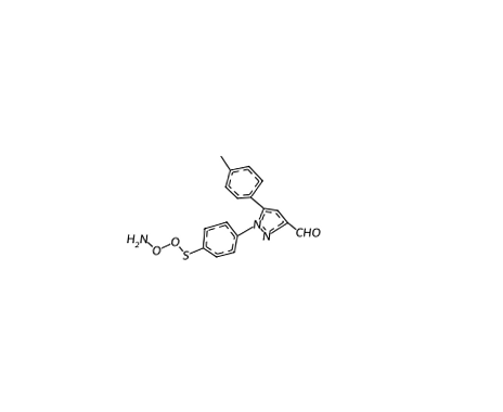 Cc1ccc(-c2cc(C=O)nn2-c2ccc(SOON)cc2)cc1